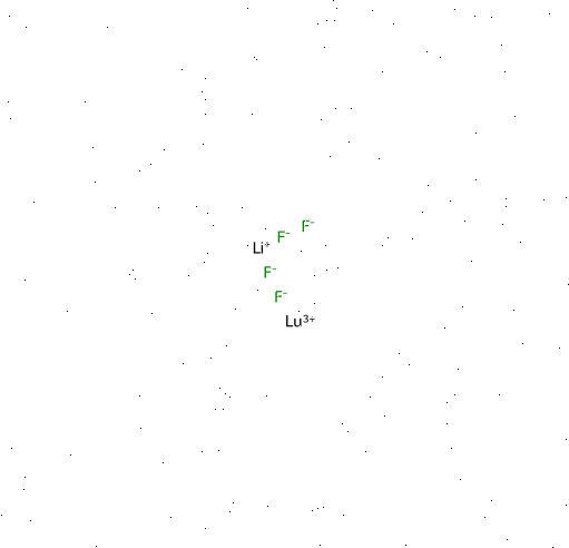 [F-].[F-].[F-].[F-].[Li+].[Lu+3]